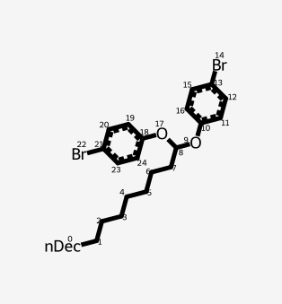 CCCCCCCCCCCCCCCCCC(Oc1ccc(Br)cc1)Oc1ccc(Br)cc1